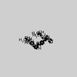 CC(C)(C)OC(=O)N[C@@H]1CCCN(Cc2cccc(C(=O)Nc3ccc(-c4cc5c(N6CCOCC6)ncnc5n4COCC[Si](C)(C)C)cc3)n2)C1